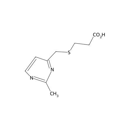 Cc1nccc(CSCCC(=O)O)n1